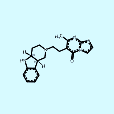 Cc1nc2sccn2c(=O)c1CCN1CC[C@H]2Nc3ccccc3[C@@H]2C1